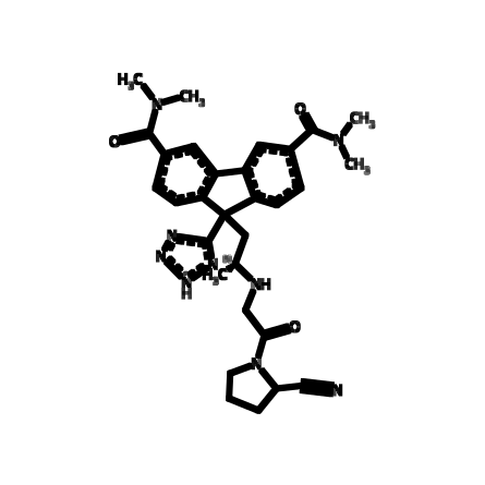 C[C@@H](CC1(c2nn[nH]n2)c2ccc(C(=O)N(C)C)cc2-c2cc(C(=O)N(C)C)ccc21)NCC(=O)N1CCCC1C#N